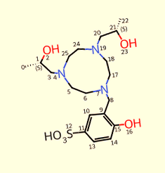 C[C@H](O)CN1CCN(Cc2cc(S(=O)(=O)O)ccc2O)CCN(C[C@H](C)O)CC1